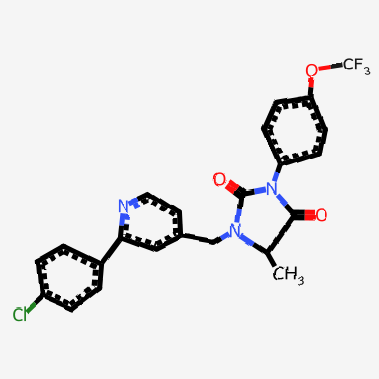 CC1C(=O)N(c2ccc(OC(F)(F)F)cc2)C(=O)N1Cc1ccnc(-c2ccc(Cl)cc2)c1